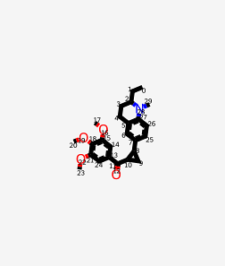 CCC1CCc2cc(C3CC3C(=O)c3cc(OC)c(OC)c(OC)c3)ccc2N1C